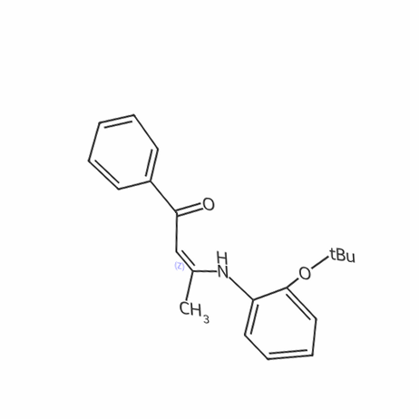 C/C(=C/C(=O)c1ccccc1)Nc1ccccc1OC(C)(C)C